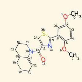 COc1ccc(OC)c(-c2nc(C(=O)N3CCCC4CCCC=C43)cs2)c1